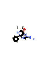 COc1cnc(-c2ccccc2)c2ncc(N)nc12